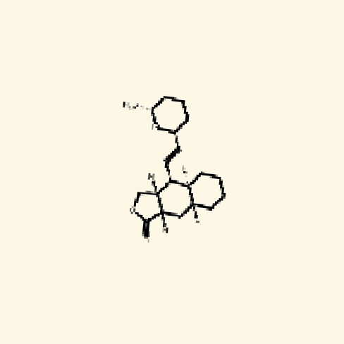 C[C@@H]1CCC[C@@H](C=C[C@@H]2[C@H]3COC(=O)[C@H]3C[C@H]3CCCC[C@@H]32)N1